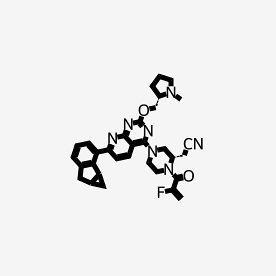 C=C(F)C(=O)N1CCN(c2nc(OC[C@@H]3CCCN3C)nc3nc(-c4cccc5c4C4CC4C5)ccc23)C[C@@H]1CC#N